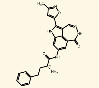 Cc1cc(-c2[nH]c3cc(NC(=O)[C@H](N)CCc4ccccc4)cc4c3c2C=NNC4=O)on1